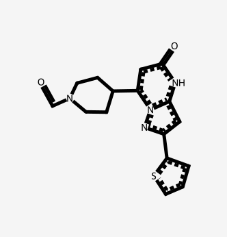 O=CN1CCC(c2cc(=O)[nH]c3cc(-c4cccs4)nn23)CC1